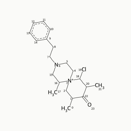 CC1C[N+]2(CCN(CCc3ccccc3)CC2C)C(Cl)C(C)C1=O